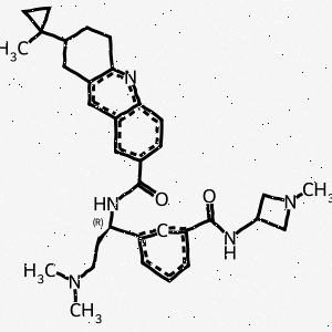 CN(C)CC[C@@H](NC(=O)c1ccc2nc3c(cc2c1)CC(C1(C)CC1)CC3)c1cccc(C(=O)NC2CN(C)C2)c1